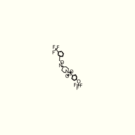 O=S(=O)(c1ccc(OC(F)(F)F)cc1)N1CCC(=NOCc2cccc(C(F)(F)F)c2)CC1